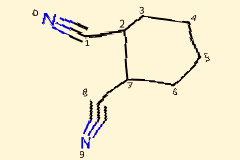 N#CC1CCCCC1C#N